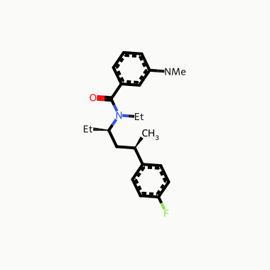 CC[C@H](C[C@@H](C)c1ccc(F)cc1)N(CC)C(=O)c1cccc(NC)c1